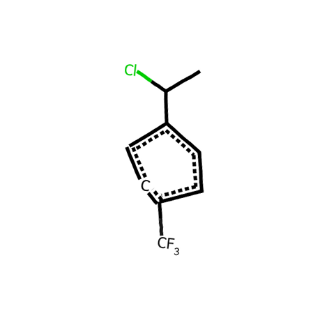 CC(Cl)c1ccc(C(F)(F)F)cc1